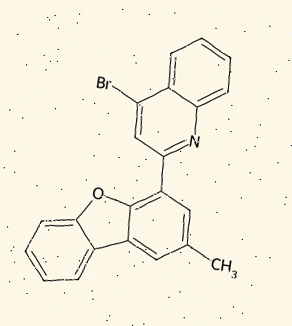 Cc1cc(-c2cc(Br)c3ccccc3n2)c2oc3ccccc3c2c1